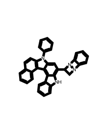 c1ccc(-n2c3ccc4ccccc4c3c3c4c([nH]c5ccccc54)c(C4Cn5c6ccccc6n54)cc32)cc1